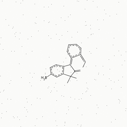 Bc1ccc2c(c1)C(C)(C)C(=C)/C2=c1/cccc/c1=C/C